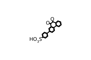 O=C1C(=O)c2cc(-c3ccc(S(=O)(=O)O)cc3)ccc2-c2ccccc21